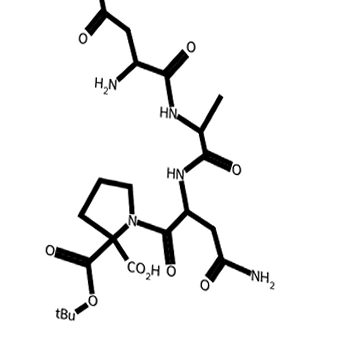 CC(NC(=O)C(N)CC(N)=O)C(=O)NC(CC(N)=O)C(=O)N1CCCC1(C(=O)O)C(=O)OC(C)(C)C